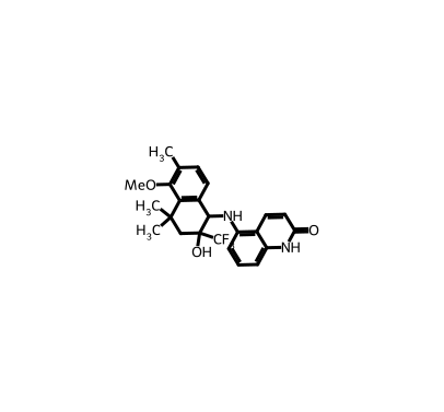 COc1c(C)ccc2c1C(C)(C)CC(O)(C(F)(F)F)C2Nc1cccc2[nH]c(=O)ccc12